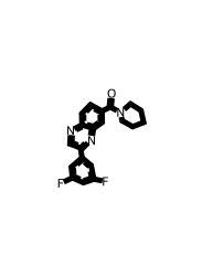 O=C(c1ccc2ncc(-c3cc(F)cc(F)c3)nc2c1)N1CCCCC1